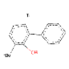 CC(C)(C)c1cccc(-c2ccccc2)c1O.[Ti]